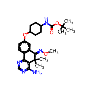 CON=C1c2cc(OC3CCC(NC(=O)OC(C)(C)C)CC3)ccc2-c2ncnc(N)c2C1(C)C